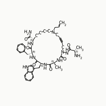 C=CCN1CC#CCN(NC(=O)[C@H](C)N)C(=O)N[C@@H](C)C(=O)N[C@@H](Cc2c[nH]c3ccccc23)C(=O)N[C@H](Cc2ccccc2)C(=O)N[C@H](C(N)=O)CCCC1